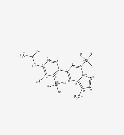 CC(Oc1ncc(-c2cc([Si](C)(C)C)n3nnc(C(F)(F)F)c3c2)c([Si](C)(C)C)c1F)C(F)(F)F